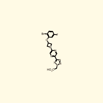 O=C(O)Cn1nnc(-c2cnc(N3CC(Oc4cc(F)ccc4Br)C3)cn2)n1